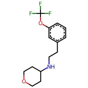 FC(F)(F)Oc1cccc(CCNC2CCOCC2)c1